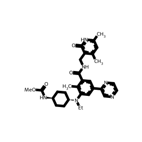 CCN(c1cc(-c2cnccn2)cc(C(=O)NCc2c(C)cc(C)[nH]c2=O)c1C)[C@H]1CC[C@H](NC(=O)OC)CC1